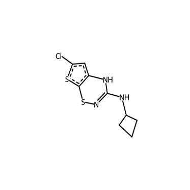 Clc1cc2c(s1)SN=C(NC1CCC1)N2